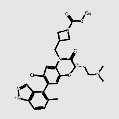 Cc1ccc2[nH]ncc2c1-c1cc2c(cc1Cl)N(CC1CN(C(=O)OC(C)(C)C)C1)C(=O)[C@H](CCN(C)C)O2